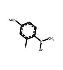 CSc1ccc(N(C)C(C)=O)c(F)c1